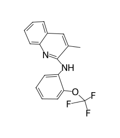 Cc1cc2ccccc2nc1Nc1ccccc1OC(F)(F)F